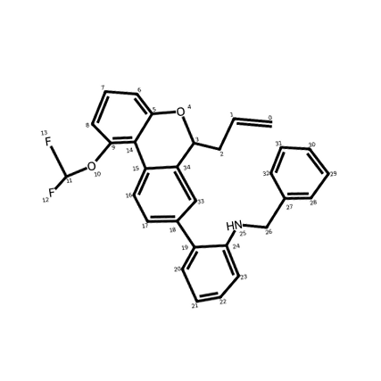 C=CCC1Oc2cccc(OC(F)F)c2-c2ccc(-c3ccccc3NCc3ccccc3)cc21